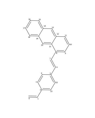 C=Cc1ccc(C=Cc2cccc3cc4ccccc4cc23)cc1